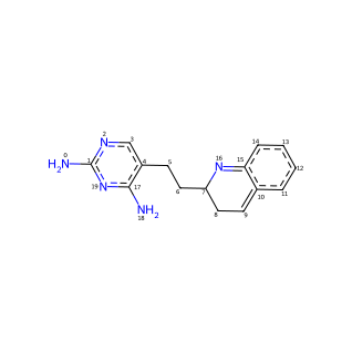 Nc1ncc(CCC2CC=c3ccccc3=N2)c(N)n1